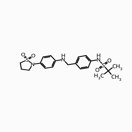 CC(C)(C)S(=O)(=O)Nc1ccc(CNc2ccc(N3CCCS3(=O)=O)cc2)cc1